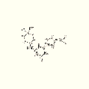 Cc1nc(NC2CCC(F)(F)CC2)nc(-n2ccc(C3CC3)n2)n1